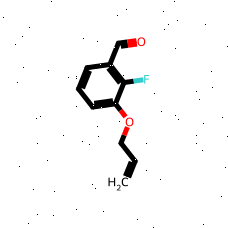 C=CCOc1cccc(C=O)c1F